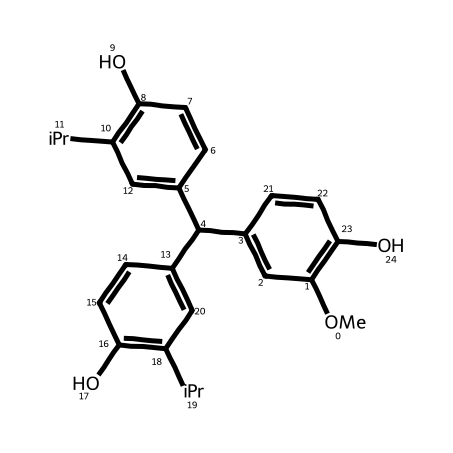 COc1cc(C(c2ccc(O)c(C(C)C)c2)c2ccc(O)c(C(C)C)c2)ccc1O